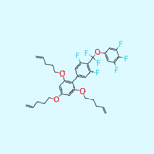 C=CCCCOc1cc(OCCCC=C)c(-c2cc(F)c(C(F)(F)Oc3cc(F)c(F)c(F)c3)c(F)c2)c(OCCCC=C)c1